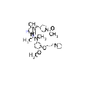 C=C(/C=C\N=C(/C)N(C)c1ccc(OC)c(OCCCN2CCCC2)c1)NCC1CCN(C(C)=O)CC1